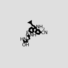 N#Cc1cccc(C(N)(CCC2CC2)c2ccc(F)c(NC(=O)C[C@H]3C[C@@H](O)CN3)c2)c1